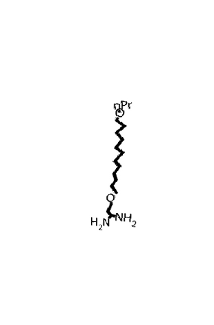 CCCOCCCCCCCCCCCCOCCC(N)N